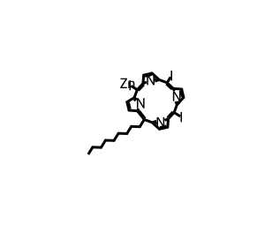 CCCCCCCCCC1=C2C=CC(=N2)C(I)=C2C=CC(=N2)C(I)=C2C=CC(=N2)C(I)=C2C=CC1=N2.[Zn]